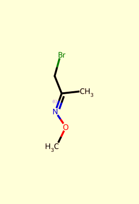 CO/N=C(\C)CBr